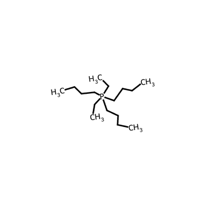 CCCCP(CC)(CC)(CCCC)CCCC